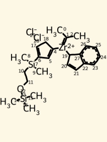 C[C](C)=[Zr+2]([C]1=CC([Si](C)(C)CCO[Si](C)(C)C)=CC1)[CH]1C=Cc2ccccc21.[Cl-].[Cl-]